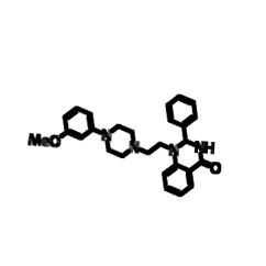 COc1cccc(N2CCN(CCN3c4ccccc4C(=O)NC3c3ccccc3)CC2)c1